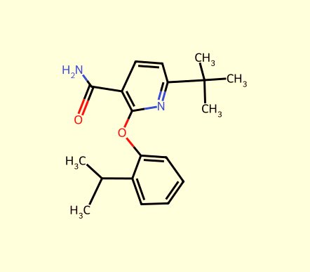 CC(C)c1ccccc1Oc1nc(C(C)(C)C)ccc1C(N)=O